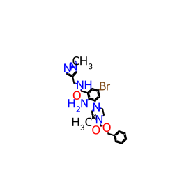 C[C@@H]1CN(c2cc(Br)cc(C(=O)NCc3cnn(C)c3)c2N)CCN1C(=O)OCc1ccccc1